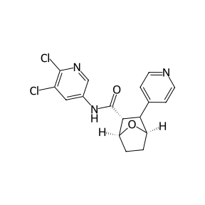 O=C(Nc1cnc(Cl)c(Cl)c1)[C@@H]1C(c2ccncc2)[C@H]2CC[C@@H]1O2